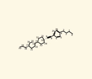 CCCCc1ccc(C#C[C@H]2CC[C@H]([C@H]3CC[C@H](CCC)CC3)CC2)cc1